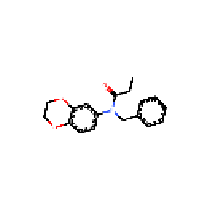 CCC(=O)N(Cc1ccccc1)c1ccc2c(c1)OCCO2